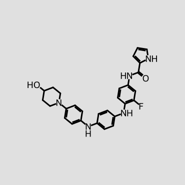 O=C(Nc1ccc(Nc2ccc(Nc3ccc(N4CCC(O)CC4)cc3)cc2)c(F)c1)c1ccc[nH]1